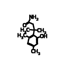 Cc1cc(C)c(C(C)(C)CC(N)=O)c(O)c1